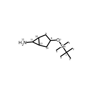 CC(C)(C)[Si](C)(C)OC1CC2C(N)C2C1